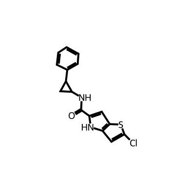 O=C(NC1CC1c1ccccc1)c1cc2sc(Cl)cc2[nH]1